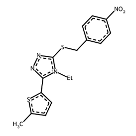 CCn1c(SCc2ccc([N+](=O)[O-])cc2)nnc1-c1ccc(C)s1